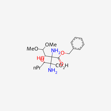 CCCC(=O)C(N)(C(=O)O)C(N)(C(=O)OCc1ccccc1)C(O)C(OC)OC